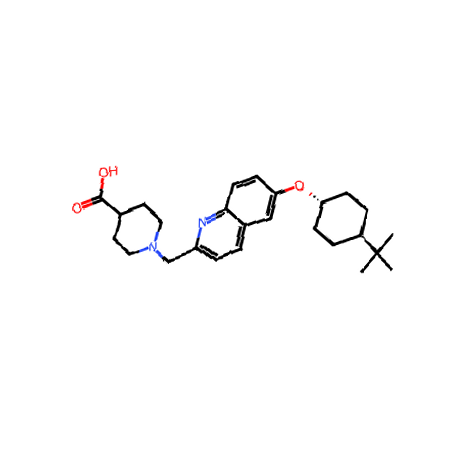 CC(C)(C)[C@H]1CC[C@H](Oc2ccc3nc(CN4CCC(C(=O)O)CC4)ccc3c2)CC1